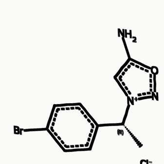 C[C@H](c1ccc(Br)cc1)[n+]1cc(N)on1.[Cl-]